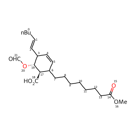 CCCC/C=C/C1C=CC(CCCCCCCC(=O)OC)[C@@H](C(=O)O)[C@@H]1OC=O